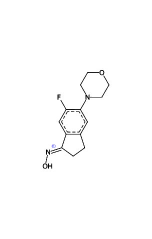 O/N=C1\CCc2cc(N3CCOCC3)c(F)cc21